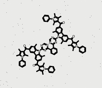 Cc1c(C(=O)c2cc(C)c3c(c2)c2cc(C(=O)c4c(C)c(C)n(-c5ccccc5)c4C)cc(C)c2n3-c2ncnc(-c3ccccc3-c3ncnc(-n4c5c(C)cc(C(=O)c6c(C)c(C)n(-c7ccccc7)c6C)cc5c5cc(C(=O)c6c(C)c(C)n(-c7ccccc7)c6C)cc(C)c54)n3)n2)c(C)n(-c2ccccc2)c1C